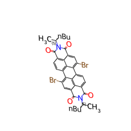 CCCC[C@H](C)N1C(=O)c2ccc3c4c(Br)cc5c6c(ccc(c7c(Br)cc(c2c37)C1=O)c64)C(=O)N([C@@H](C)CCCC)C5=O